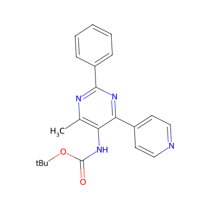 Cc1nc(-c2ccccc2)nc(-c2ccncc2)c1NC(=O)OC(C)(C)C